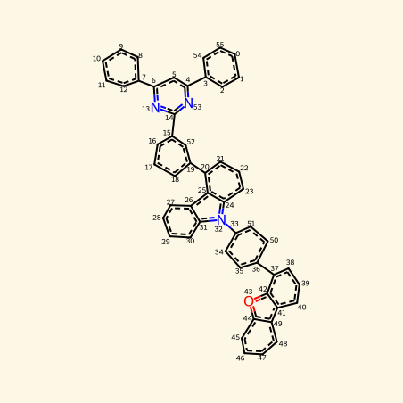 c1ccc(-c2cc(-c3ccccc3)nc(-c3cccc(-c4cccc5c4c4ccccc4n5-c4ccc(-c5cccc6c5oc5ccccc56)cc4)c3)n2)cc1